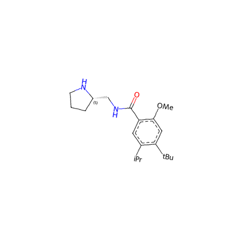 COc1cc(C(C)(C)C)c(C(C)C)cc1C(=O)NC[C@@H]1CCCN1